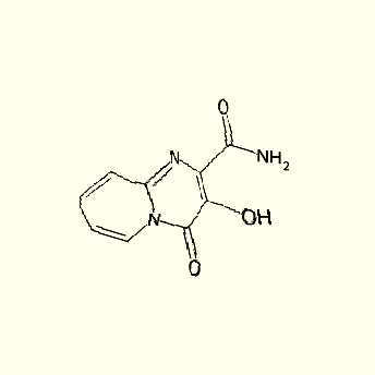 NC(=O)c1nc2ccccn2c(=O)c1O